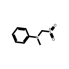 CN(C[SH](=O)=O)c1c[c]ccc1